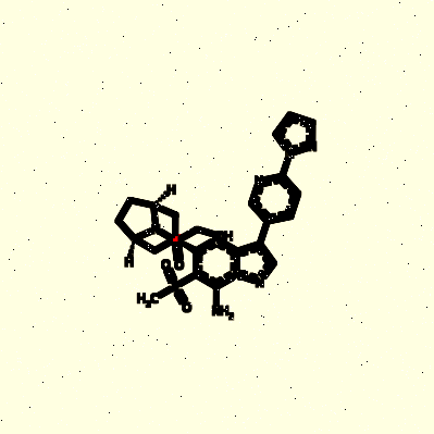 CS(=O)(=O)c1c([C@H]2C[C@H]3CC[C@@H](C2)N3C(=O)CO)nc2c(-c3ccc(-n4cccn4)nc3)cnn2c1N